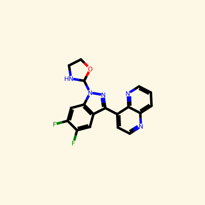 Fc1cc2c(-c3ccnc4cccnc34)nn(C3NCCO3)c2cc1F